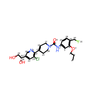 CCCOc1cc(NC(=O)N2CC=C(c3ncc([C@H](O)CO)cc3Cl)CC2)ccc1CF